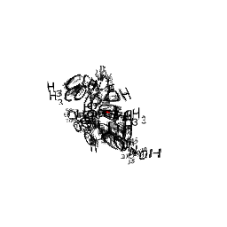 CC(=O)O[C@@]12CO[C@@H]1CC[C@@]1(C)[C@@H]3O[C@H](CN4CC[C@H]4CO)O[C@@H]3C3=C(C)[C@@H](OC(=O)[C@H](O)[C@@H](NC(=O)OC(C)(C)C)c4ncccc4F)C[C@@](O)([C@@H](OC(=O)c4ccccc4)[C@@H]12)C3(C)C